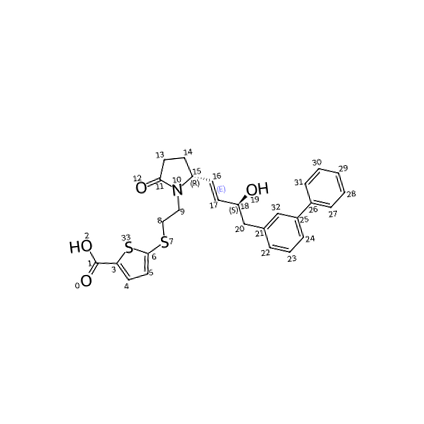 O=C(O)c1ccc(SCCN2C(=O)CC[C@@H]2/C=C/[C@@H](O)Cc2cccc(-c3ccccc3)c2)s1